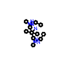 N#Cc1c(-c2ccccc2)c(-c2ccc3c(c2)n2c4cc(C5C=CC=CC5)ccc4nc2n3-c2ccccc2)cc(-c2ccccc2)c1-c1ccc2c(c1)n1c3cc(-c4ccccc4)ccc3nc1n2-c1ccccc1